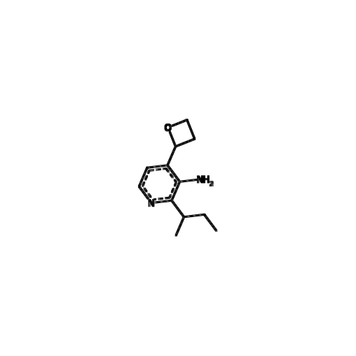 CCC(C)c1nccc(C2CCO2)c1N